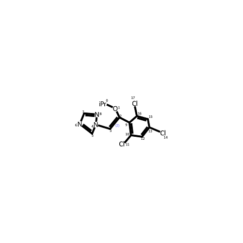 CC(C)O/C(=C\n1cncn1)c1c(Cl)cc(Cl)cc1Cl